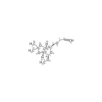 C#CCOC[C@H]1O[C@@H](OC)[C@@H]2OC(C)(C)O[C@@H]21